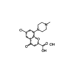 CN1CCN(c2cc(Cl)cc3c(=O)cc(C(=O)O)oc23)CC1.Cl